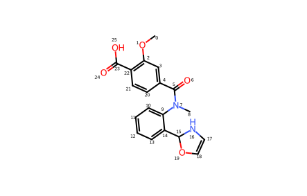 COc1cc(C(=O)N(C)c2ccccc2C2NC=CO2)ccc1C(=O)O